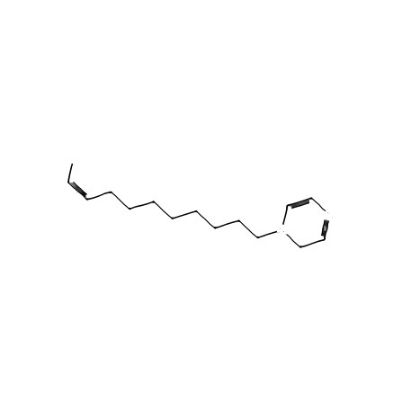 CCCCCCCC/C=C\CCCCCCCCN1C=CN=CC1